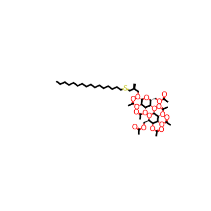 C=C(CO[C@@H]1O[C@H](COC(C)=O)[C@@H](O[C@@H]2O[C@H](COC(C)=O)[C@H](OC(C)=O)[C@H](OC(C)=O)[C@H]2OC(C)=O)[C@H](OC(C)=O)[C@H]1OC(C)=O)CSCCCCCCCCCCCCCCCC